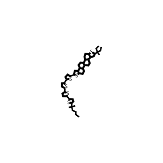 CCCCC(C)(C)c1ccc(-c2ccc(-c3ccc(-c4ccc(-c5cc6c(ccc7c6ccc6c8ccc9sc(C(C)(CC)CC)cc9c8ccc76)s5)s4)s3)s2)s1